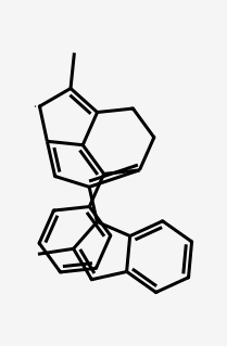 CC1=Cc2ccccc2C1c1cc2c3c(-c4ccccc4)c1CCC3=C(C)[CH]2